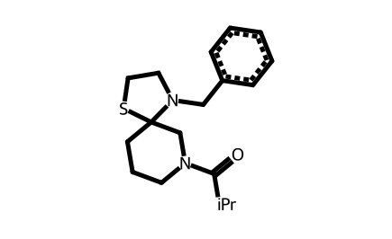 CC(C)C(=O)N1CCCC2(C1)SCCN2Cc1ccccc1